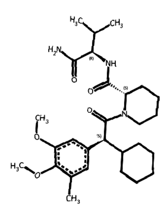 COc1cc([C@@H](C(=O)N2CCCC[C@H]2C(=O)N[C@@H](C(N)=O)C(C)C)C2CCCCC2)cc(C)c1OC